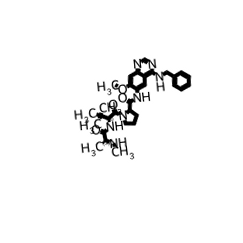 CN[C@@H](C)C(=O)N[C@H](C(=O)N1CCCC1C(=O)Nc1cc2c(NCc3ccccc3)ncnc2cc1OC)C(C)(C)C